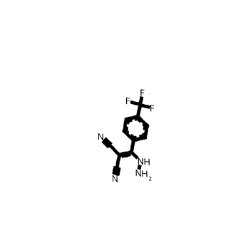 N#CC(C#N)=C(NN)c1ccc(C(F)(F)F)cc1